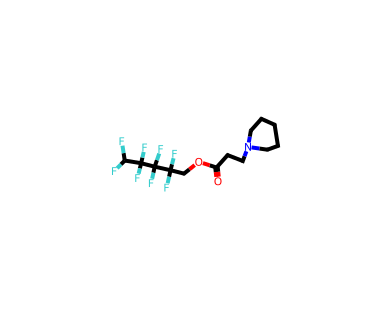 O=C(CCN1CCCCC1)OCC(F)(F)C(F)(F)C(F)(F)C(F)F